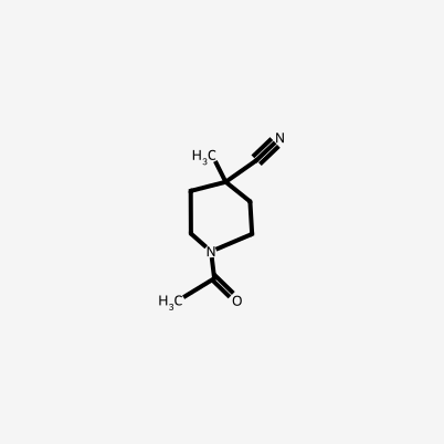 CC(=O)N1CCC(C)(C#N)CC1